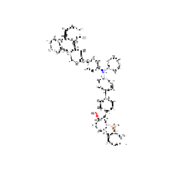 c1ccc(N(c2ccc(-c3ccc4c(c3)oc3ccc5c6ccccc6sc5c34)cc2)c2ccc(-c3ccc4c5ccccc5c5ccccc5c4c3)cc2)cc1